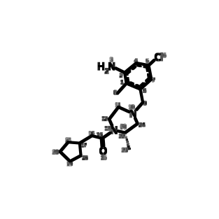 Cc1c(N)cc(Cl)cc1CN1CCN(C(=O)CC2CCCC2)[C@@H](C)C1